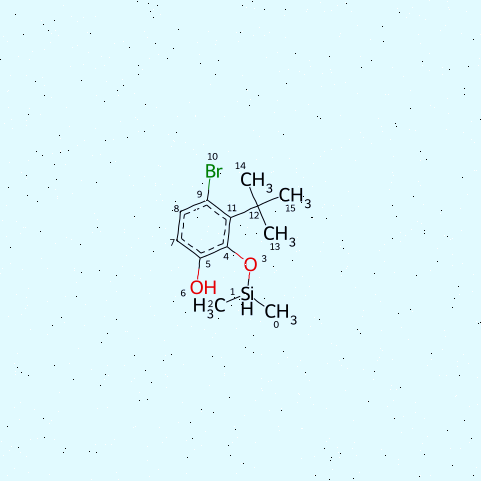 C[SiH](C)Oc1c(O)ccc(Br)c1C(C)(C)C